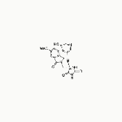 COc1ccc2c(c1)C(=O)N(C[C@]1(C#Cc3cncc(O)c3)NC(=O)NC1=O)C2